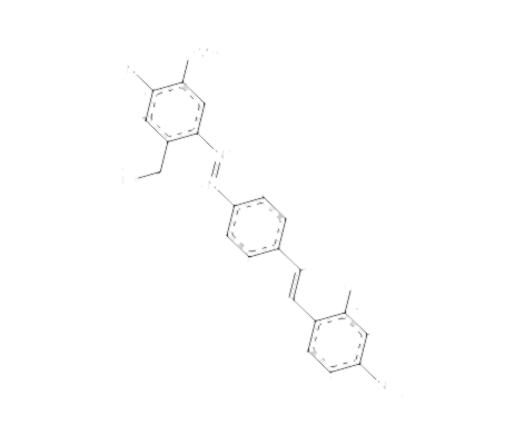 COc1cc(N=Nc2ccc(C=Cc3ccc([N+](=O)[O-])cc3S(=O)(=O)O)cc2)c(CO)cc1N